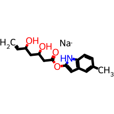 C=CC(O)CC(O)CC(=O)Oc1cc2cc(C)ccc2[nH]1.[Na]